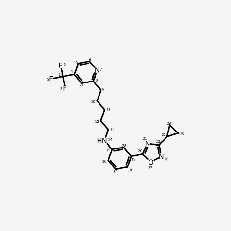 FC(F)(F)c1ccnc(CCCCCNc2cccc(-c3nc(C4CC4)no3)c2)c1